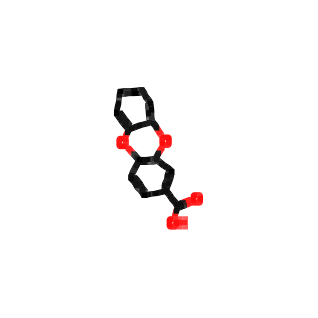 O=C(O)c1ccc2c(c1)Oc1ccccc1O2